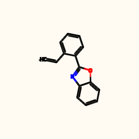 [CH]=Cc1ccccc1-c1nc2ccccc2o1